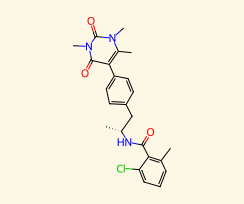 Cc1cccc(Cl)c1C(=O)N[C@H](C)Cc1ccc(-c2c(C)n(C)c(=O)n(C)c2=O)cc1